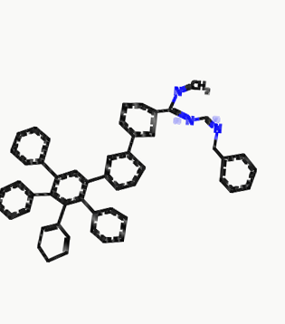 C=N/C(=N\C=N/Cc1ccccc1)c1cccc(-c2cccc(-c3cc(-c4ccccc4)c(-c4ccccc4)c(C4=CCCC=C4)c3-c3ccccc3)c2)c1